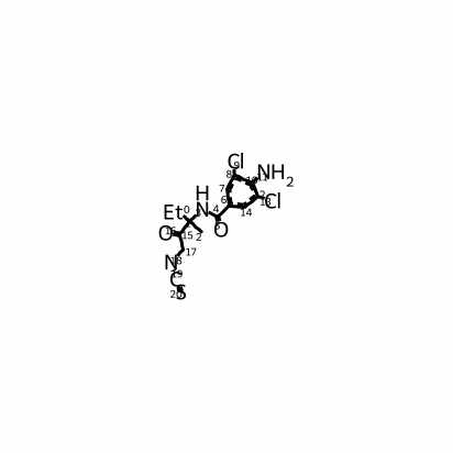 CCC(C)(NC(=O)c1cc(Cl)c(N)c(Cl)c1)C(=O)CN=C=S